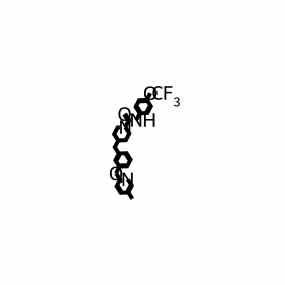 Cc1ccc(Oc2cccc(CC3CCN(C(=O)Nc4ccc(OC(F)(F)F)cc4)CC3)c2)nc1